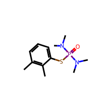 Cc1cccc(SP(=O)(N(C)C)N(C)C)c1C